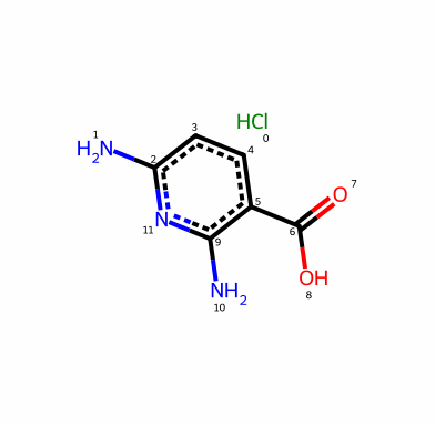 Cl.Nc1ccc(C(=O)O)c(N)n1